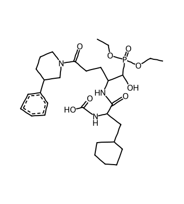 CCOP(=O)(OCC)C(O)C(CCC(=O)N1CCCC(c2ccccc2)C1)NC(=O)C(CC1CCCCC1)NC(=O)O